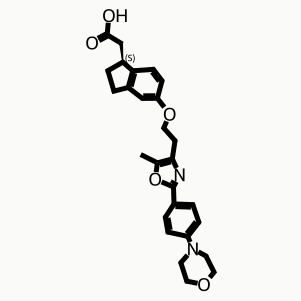 Cc1oc(-c2ccc(N3CCOCC3)cc2)nc1CCOc1ccc2c(c1)CC[C@H]2CC(=O)O